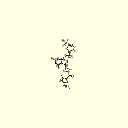 Cc1nc(N)sc1C(=O)N1CC(c2nn(CC(=O)N3CCO[C@@H](C(F)(F)F)C3)c3cc(F)cc(F)c23)C1